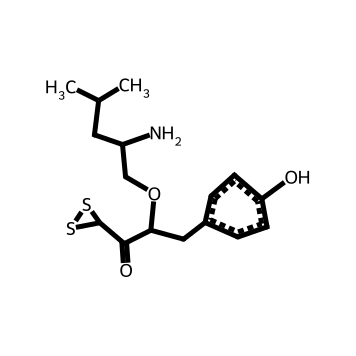 CC(C)CC(N)COC(Cc1ccc(O)cc1)C(=O)C1SS1